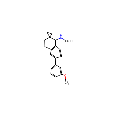 O=C(O)NC1c2ccc(-c3cccc(OC(F)(F)F)c3)cc2CCC12CC2